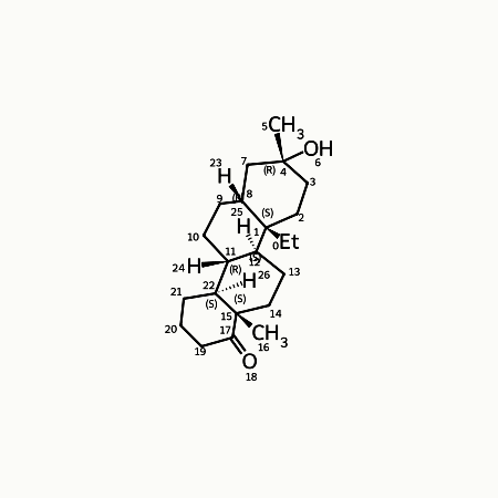 CC[C@]12CC[C@@](C)(O)C[C@H]1CC[C@@H]1[C@@H]2CC[C@]2(C)C(=O)CCC[C@@H]12